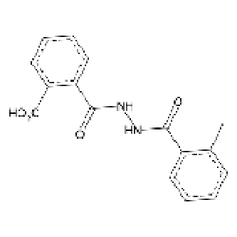 Cc1ccccc1C(=O)NNC(=O)c1ccccc1C(=O)O